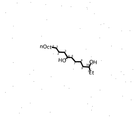 CCCCCCCCCCCC(O)CCCCC(O)CC